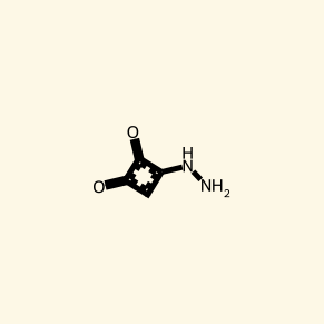 NNc1cc(=O)c1=O